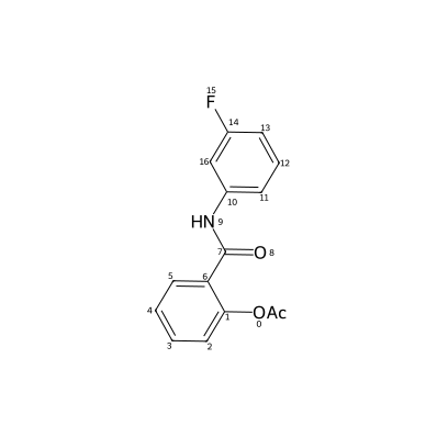 CC(=O)Oc1ccccc1C(=O)Nc1cccc(F)c1